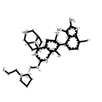 N#Cc1c(N)sc2c(F)ccc(-c3c(Cl)cc4c(N5C6CNCC5COC6)nc(OC[C@@H]5CCCN5CCF)nc4c3F)c12